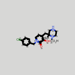 CC(C)(C)C1(Cc2ccn(Cc3ccc(Cl)cc3)c(=O)c2O)CNCCN1C(=O)O